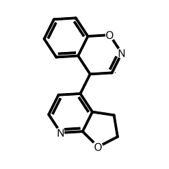 [C]1=NOc2ccccc2C1c1ccnc2c1CCO2